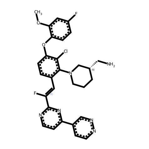 COc1cc(F)ccc1Oc1ccc(/C=C(\F)c2nccc(-c3ccnnc3)n2)c(N2CCC[C@@H](CN)C2)c1Cl